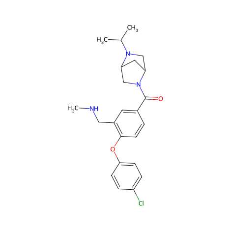 CNCc1cc(C(=O)N2CC3CC2CN3C(C)C)ccc1Oc1ccc(Cl)cc1